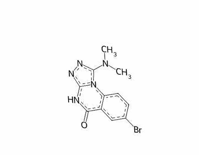 CN(C)c1nnc2[nH]c(=O)c3cc(Br)ccc3n12